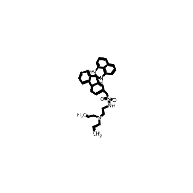 C=CCN(CC=C)CCNS(=O)(=O)Cc1ccc2c(c1)C1(Nc3cccc4cccc(c34)N1)c1ccccc1-2